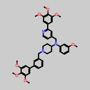 COc1cccc(N(Cc2ccnc(-c3cc(OC)c(OC)c(OC)c3)c2)C2CCN(Cc3cccc(-c4cc(OC)c(OC)c(OC)c4)c3)CC2)c1